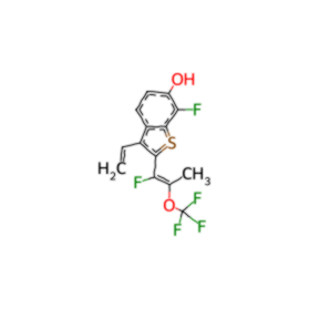 C=Cc1c(/C(F)=C(\C)OC(F)(F)F)sc2c(F)c(O)ccc12